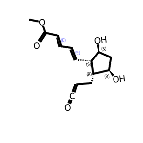 COC(=O)/C=C/C=C/[C@H]1[C@@H](CC=C=O)[C@H](O)C[C@@H]1O